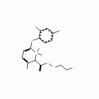 CC1=CC=C(Nc2ccc(I)cc2F)[N+](C)([O-])C1C(=O)NOCCO